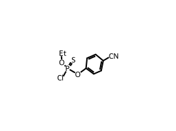 CCOP(=S)(Cl)Oc1ccc(C#N)cc1